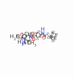 C=CC(=O)NC1C(C)(C)CN(S(=O)(=O)c2ccc(NC(=O)CCC34CC5CC(CC(C5)C3)C4)cc2)CC1(C)C